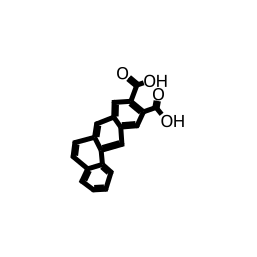 O=C(O)c1cc2cc3ccc4ccccc4c3cc2cc1C(=O)O